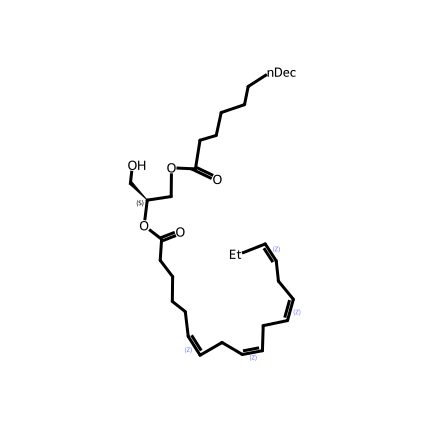 CC/C=C\C/C=C\C/C=C\C/C=C\CCCCC(=O)O[C@@H](CO)COC(=O)CCCCCCCCCCCCCCC